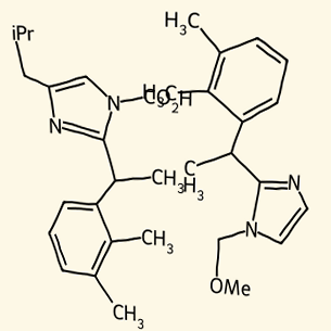 COCn1ccnc1C(C)c1cccc(C)c1C.Cc1cccc(C(C)c2nc(CC(C)C)cn2C(=O)O)c1C